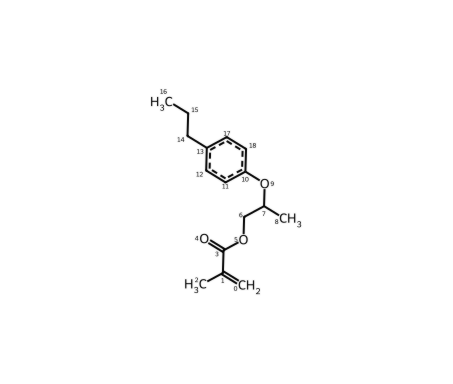 C=C(C)C(=O)OCC(C)Oc1ccc(CCC)cc1